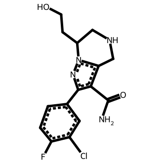 NC(=O)c1c(-c2ccc(F)c(Cl)c2)nn2c1CNCC2CCO